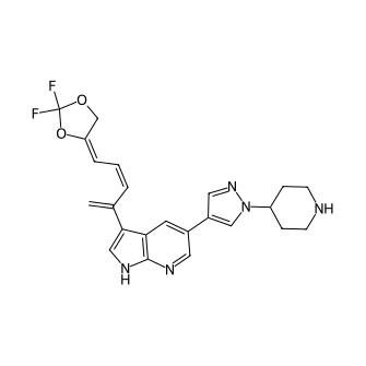 C=C(/C=C\C=C1/COC(F)(F)O1)c1c[nH]c2ncc(-c3cnn(C4CCNCC4)c3)cc12